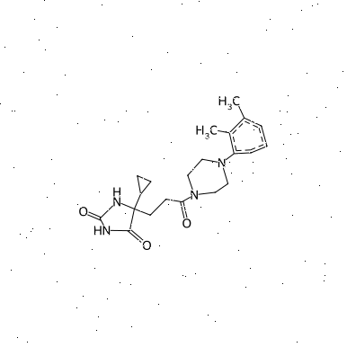 Cc1cccc(N2CCN(C(=O)CCC3(C4CC4)NC(=O)NC3=O)CC2)c1C